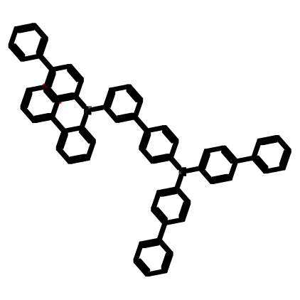 c1ccc(-c2ccc(N(c3ccc(-c4ccccc4)cc3)c3ccc(-c4cccc(N(c5ccc(-c6ccccc6)cc5)c5ccccc5-c5ccccc5)c4)cc3)cc2)cc1